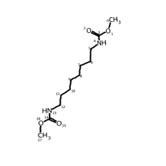 COC(=O)NCCCCCCCCNC(=O)OC